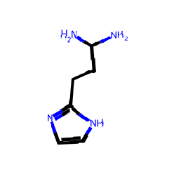 NC(N)CCc1ncc[nH]1